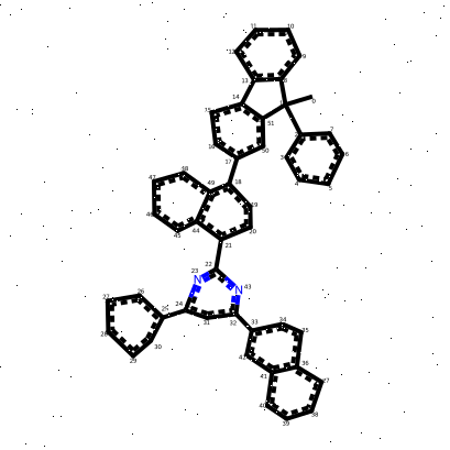 CC1(c2ccccc2)c2ccccc2-c2ccc(-c3ccc(-c4nc(-c5ccccc5)cc(-c5ccc6ccccc6c5)n4)c4ccccc34)cc21